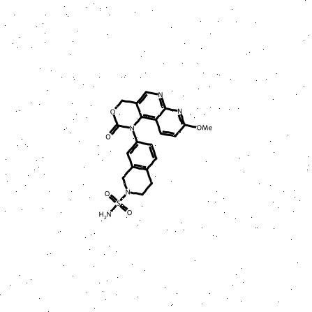 COc1ccc2c3c(cnc2n1)COC(=O)N3c1ccc2c(c1)CN(S(N)(=O)=O)CC2